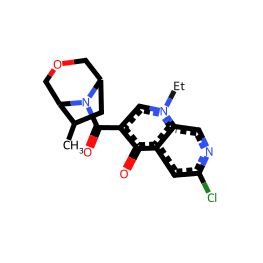 CCn1cc(C(=O)N2C3COCC2C(C)C3)c(=O)c2cc(Cl)ncc21